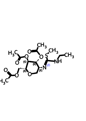 CCN/C(=N/[C@@H]1CO[C@H](COC(C)=O)[C@@H](OC(C)=O)[C@@H]1OC(C)=O)SC